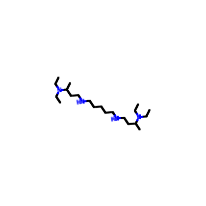 CCN(CC)C(C)CCNCCCCCNCCC(C)N(CC)CC